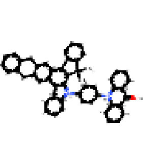 CC1(C)c2ccccc2-c2c1c1c(c3cc4c(cc23)Cc2ccccc2C4)c2ccccc2n1-c1ccc(-n2c3ccccc3c(=O)c3ccccc32)cc1